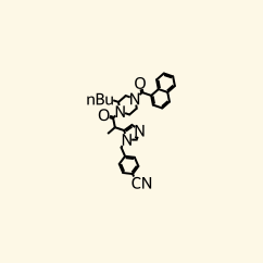 CCCCC1CN(C(=O)c2cccc3ccccc23)CCN1C(=O)C(C)c1cncn1Cc1ccc(C#N)cc1